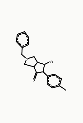 CCCC1C(c2ccc(F)cc2)C(=O)C2CN(Cc3ccccc3)CC21